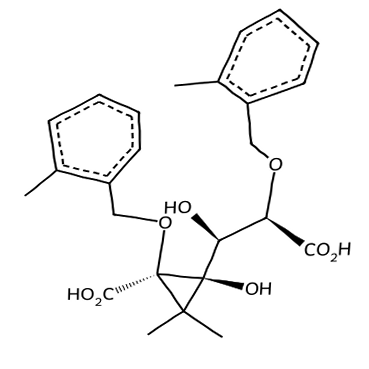 Cc1ccccc1CO[C@@H](C(=O)O)[C@H](O)[C@]1(O)C(C)(C)[C@]1(OCc1ccccc1C)C(=O)O